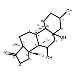 C[C@]12CC[C@@H]3[C@@H](C(O)CC4(O)CC(O)CC[C@]34C)[C@@H]1CCC2=O